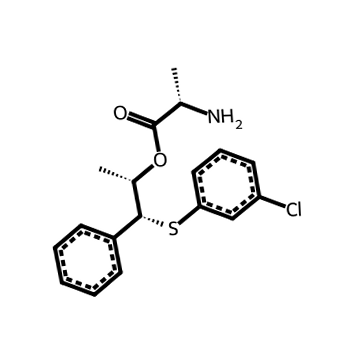 C[C@H](N)C(=O)O[C@@H](C)[C@H](Sc1cccc(Cl)c1)c1ccccc1